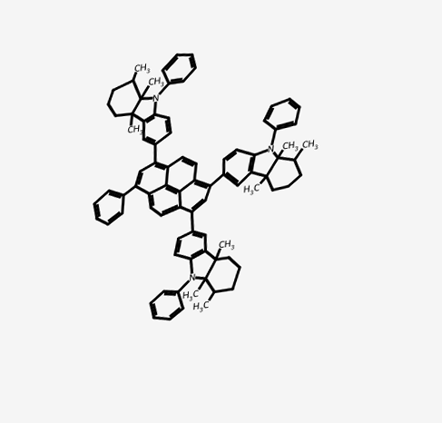 CC1CCCC2(C)c3cc(-c4cc(-c5ccccc5)c5ccc6c(-c7ccc8c(c7)C7(C)CCCC(C)C7(C)N8c7ccccc7)cc(-c7ccc8c(c7)C7(C)CCCC(C)C7(C)N8c7ccccc7)c7ccc4c5c67)ccc3N(c3ccccc3)C12C